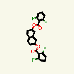 O=C(Oc1ccc2ccc(OC(=O)c3c(F)cccc3F)cc2c1)c1c(F)cccc1F